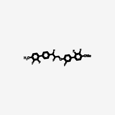 COc1ccc(-c2ccc(OCC(F)C(F)c3ccc(-c4ccc(C)c(F)c4F)cc3)c(F)c2)c(F)c1F